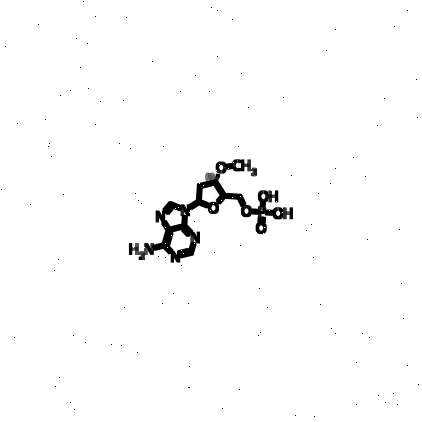 CO[C@H]1CC(n2cnc3c(N)ncnc32)OC1COP(=O)(O)O